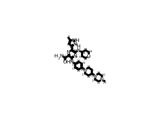 Cc1cc(-c2nc(C(N)=O)c(Nc3ccc(N4CCC(N5CCN(C)CC5)CC4)cc3)nc2NC2CCOCC2)n[nH]1